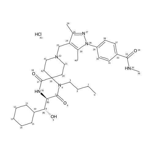 CCCCN1C(=O)[C@@H]([C@H](O)C2CCCCC2)NC(=O)C12CCN(Cc1c(C)nn(-c3ccc(C(=O)NC)cc3)c1C)CC2.Cl